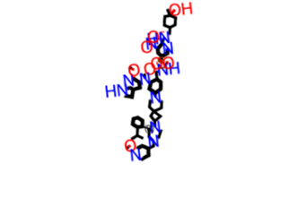 COc1cc(CN2CCN(C3CC4(CCN(c5ccc(C(=O)NS(=O)(=O)c6cnc(NCC7CCC(C)(O)CC7)c([N+](=O)[O-])c6)c(N(C)c6cc7cc[nH]c7nc6OC)c5)CC4)C3)[C@H](c3ccccc3C(C)C)C2)ccn1